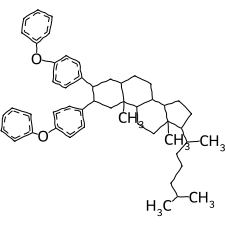 CC(C)CCCC(C)C1CCC2C3CCC4CC(c5ccc(Oc6ccccc6)cc5)C(c5ccc(Oc6ccccc6)cc5)CC4(C)C3CCC12C